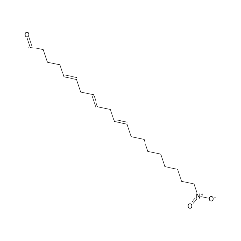 O=[C]CCCC=CCC=CCC=CCCCCCCCC[N+](=O)[O-]